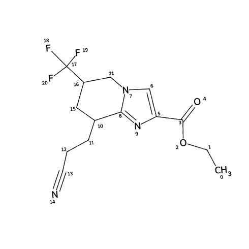 CCOC(=O)c1cn2c(n1)C(CCC#N)CC(C(F)(F)F)C2